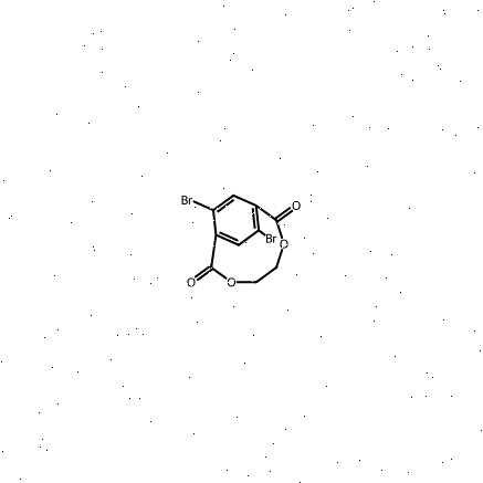 O=C1OCCOC(=O)c2cc(Br)c1cc2Br